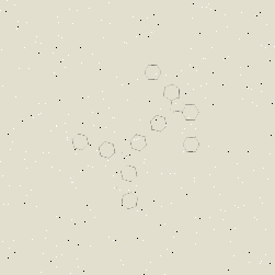 CC1(C)c2ccccc2-c2ccc(N(c3ccc(-c4ccccc4)cc3)c3ccc(-c4ccc(-n5c6cc7c(cc6c6ccc8c(c65)Sc5ccccc5S8)C(C)(C)c5ccccc5-7)cc4)cc3)cc21